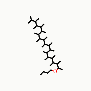 CCCCOC(C)C(C)C(C)C(C)C(C)C(C)C(C)C(C)C(C)C(C)C(C)C(C)C(C)C(C)C(C)C(C)C(C)C